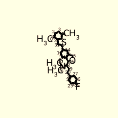 Cc1ccc(C)c2sc(-c3ccc4c(c3)COC4C(CCc3ccc(F)cc3)N(C)C)cc12